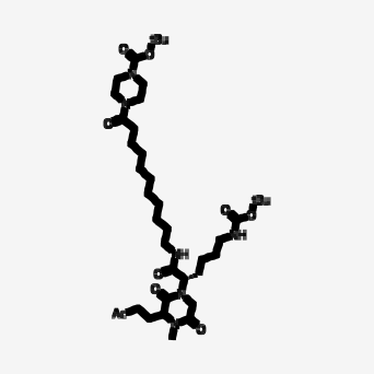 CC(=O)CCC1C(=O)N([C@@H](CCCCNC(=O)OC(C)(C)C)C(=O)NCCCCCCCCCCC(=O)N2CCN(C(=O)OC(C)(C)C)CC2)CC(=O)N1C